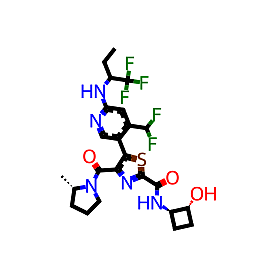 CCC(Nc1cc(C(F)F)c(-c2sc(C(=O)N[C@@H]3CC[C@H]3O)nc2C(=O)N2CCC[C@@H]2C)cn1)C(F)(F)F